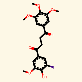 COc1cc(C(=O)CCC(=O)c2cc(OC)c(OC)c(OC)c2)cc(I)c1O